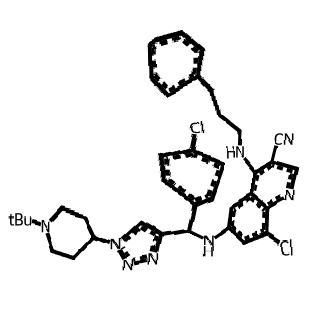 CC(C)(C)N1CCC(n2cc(C(Nc3cc(Cl)c4ncc(C#N)c(NCCCc5ccccc5)c4c3)c3ccc(Cl)cc3)nn2)CC1